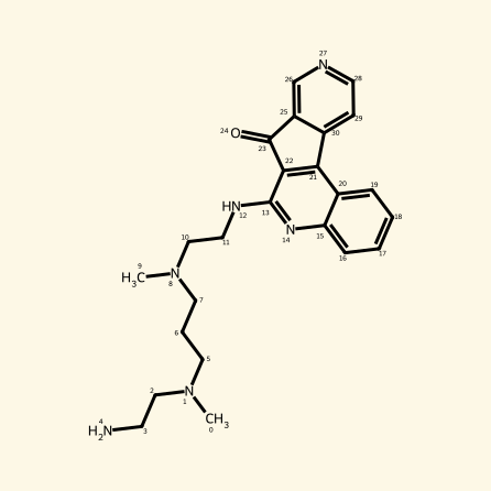 CN(CCN)CCCN(C)CCNc1nc2ccccc2c2c1C(=O)c1cnccc1-2